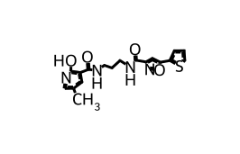 Cc1cnc(O)c(C(=O)NCCCNC(=O)c2cc(-c3cccs3)on2)c1